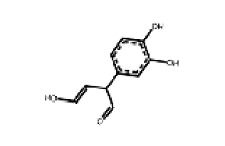 O=CC(C=CO)c1ccc(O)c(O)c1